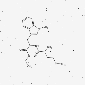 CCOC(=O)C(Cc1cn(C)c2ccccc12)NC(=O)C(N)CCSC